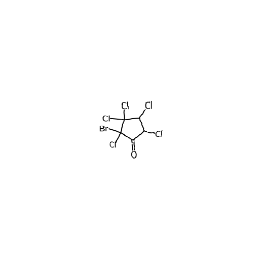 O=C1C(Cl)C(Cl)C(Cl)(Cl)C1(Cl)Br